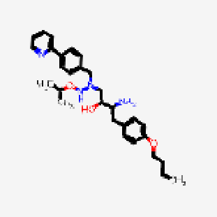 CCCCOc1ccc(CC(N)C(O)CN(Cc2ccc(-c3ccccn3)cc2)NOC(C)C)cc1